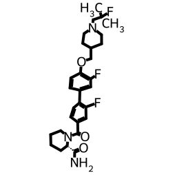 CC(C)(F)CN1CCC(COc2ccc(-c3ccc(C(=O)N4CCCC[C@H]4C(N)=O)cc3F)cc2F)CC1